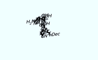 CCCCCCCCCCCCCCOC[C@H](COP(=O)(O)OC[C@@]1(C)O[C@@H](c2ccc3c(N)ncnn23)[C@H](O)[C@@H]1O)Oc1ccc(C#N)cn1